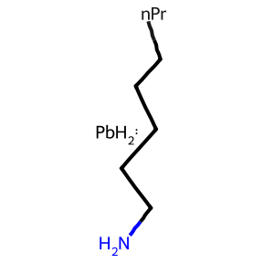 CCCCCCCCN.[PbH2]